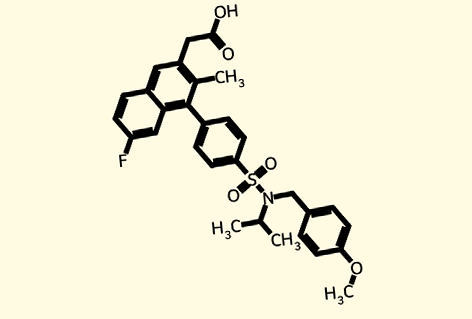 COc1ccc(CN(C(C)C)S(=O)(=O)c2ccc(-c3c(C)c(CC(=O)O)cc4ccc(F)cc34)cc2)cc1